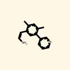 Cc1cc(C)c(-c2cccnc2)cc1/C=C\N